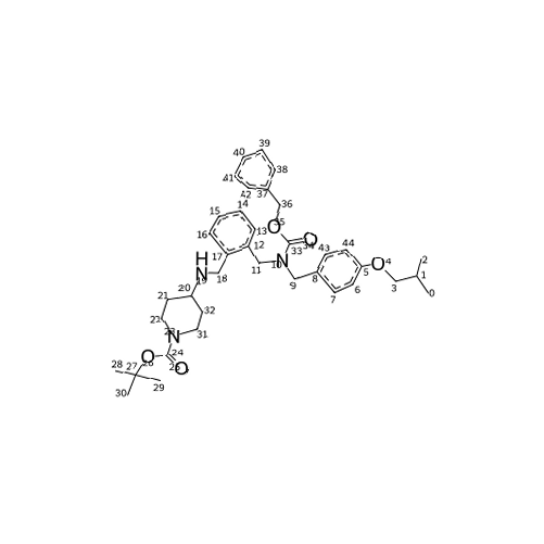 CC(C)COc1ccc(CN(Cc2ccccc2CNC2CCN(C(=O)OC(C)(C)C)CC2)C(=O)OCc2ccccc2)cc1